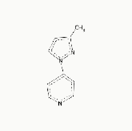 Cc1ccn(-c2ccncc2)n1